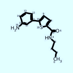 CCCCNC(=O)c1ccc(-c2cccc(N)c2)s1